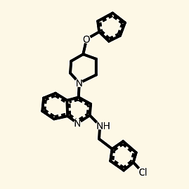 Clc1ccc(CNc2cc(N3CCC(Oc4ccccc4)CC3)c3ccccc3n2)cc1